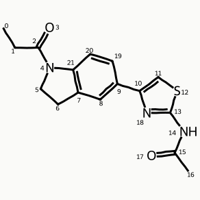 CCC(=O)N1CCc2cc(-c3csc(NC(C)=O)n3)ccc21